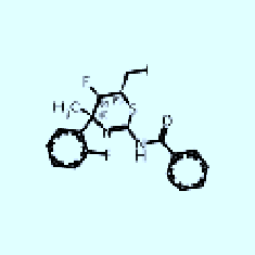 C[C@]1(c2ccccc2F)N=C(NC(=O)c2ccccc2)S[C@H](CI)[C@@H]1F